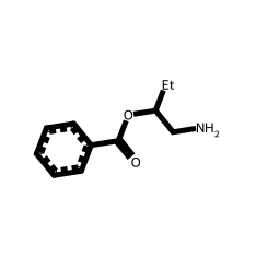 CCC(CN)OC(=O)c1ccccc1